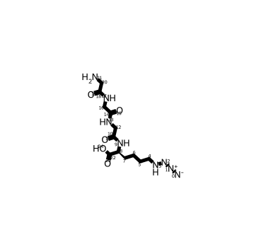 [N-]=[N+]=NNCCCC[C@H](NC(=O)CNC(=O)CNC(=O)CN)C(=O)O